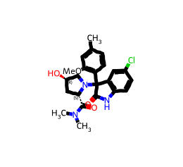 COc1cc(C)ccc1C1(N2C[C@H](O)C[C@H]2C(=O)N(C)C)C(=O)Nc2ccc(Cl)cc21